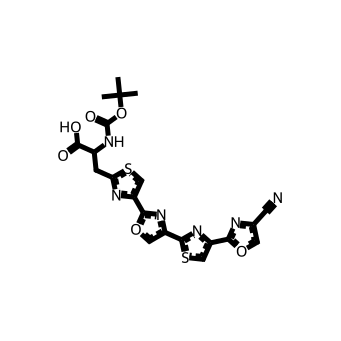 CC(C)(C)OC(=O)NC(Cc1nc(-c2nc(-c3nc(-c4nc(C#N)co4)cs3)co2)cs1)C(=O)O